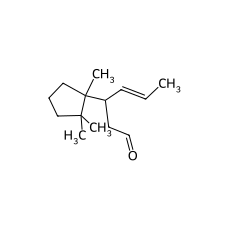 C/C=C/C(CC=O)C1(C)CCCC1(C)C